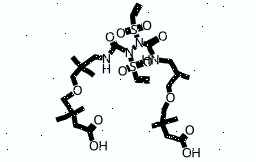 C=CS(=O)(=O)N(C(=O)NCC(C)COCC(C)(C)CC(=O)O)N(C(=O)NCC(C)(C)COCC(C)(C)CC(=O)O)S(=O)(=O)C=C